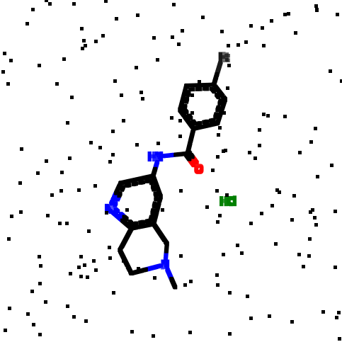 CCc1ccc(C(=O)Nc2cnc3c(c2)CN(C)CC3)cc1.Cl